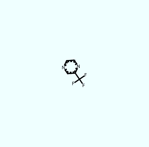 FC(F)(F)c1cnc[c]n1